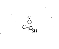 CN(C)c1ccc(-c2nc(S)sc2-c2ccccc2)cc1